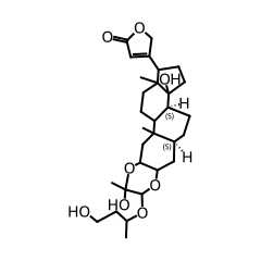 CC(CCO)OC1OC2C[C@@H]3CC[C@H]4C(CCC5(C)C(C6=CC(=O)OC6)CCC45O)C3(C)CC2OC1(C)O